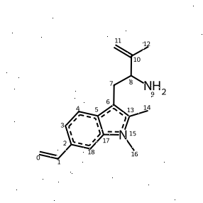 C=Cc1ccc2c(CC(N)C(=C)C)c(C)n(C)c2c1